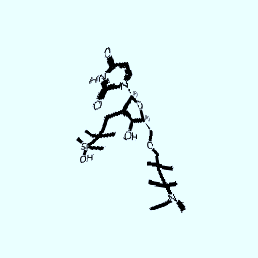 CN(C)C(C)(C)C(C)(C)COC[C@H]1O[C@@H](n2ccc(=O)[nH]c2=O)C(CC(C)(C)[Si](C)(C)O)C1O